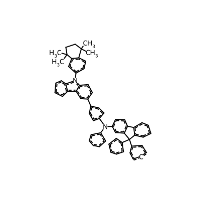 CC1(C)CCC(C)(C)c2cc(-n3c4ccccc4c4cc(-c5ccc(N(c6ccccc6)c6ccc7c(c6)C(c6ccccc6)(c6ccccc6)c6ccccc6-7)cc5)ccc43)ccc21